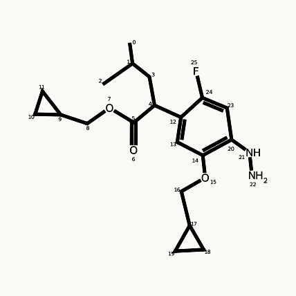 CC(C)CC(C(=O)OCC1CC1)c1cc(OCC2CC2)c(NN)cc1F